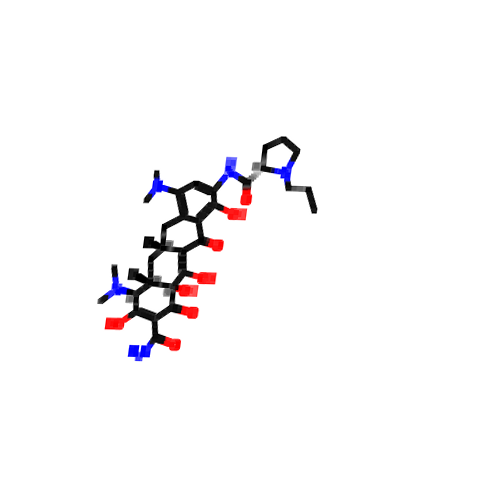 CCCN1CCC[C@H]1C(=O)Nc1cc(N(C)C)c2c(c1O)C(=O)C1=C(O)[C@]3(O)C(=O)C(C(N)=O)=C(O)[C@@H](N(C)C)[C@@H]3C[C@@H]1C2